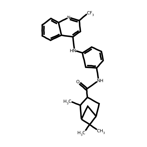 CC1C(C(=O)Nc2cccc(Nc3cc(C(F)(F)F)nc4ccccc34)c2)CC2CC1C2(C)C